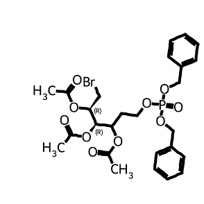 CC(=O)OC(CCOP(=O)(OCc1ccccc1)OCc1ccccc1)[C@@H](OC(C)=O)[C@H](CBr)OC(C)=O